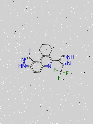 FC(F)(F)c1n[nH]cc1-c1nc2ccc3[nH]nc(I)c3c2c2c1CCCC2